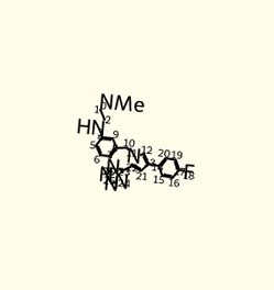 CNCCNc1ccc2c(c1)Cn1cc(-c3ccc(F)cc3)cc1-c1nnnn1-2